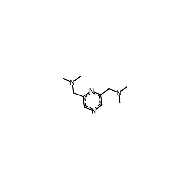 CN(C)Cc1cncc(CN(C)C)n1